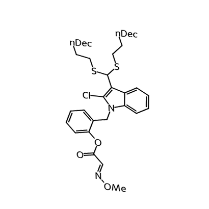 CCCCCCCCCCCCSC(SCCCCCCCCCCCC)c1c(Cl)n(Cc2ccccc2OC(=O)C=NOC)c2ccccc12